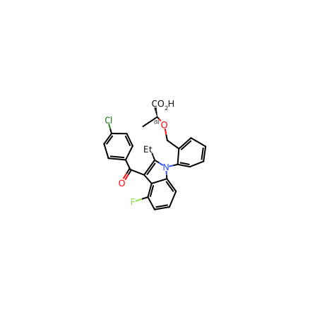 CCc1c(C(=O)c2ccc(Cl)cc2)c2c(F)cccc2n1-c1ccccc1CO[C@@H](C)C(=O)O